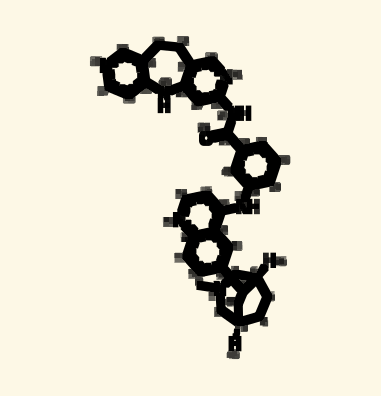 CN1C[C@@H]2CC[C@@H](C1)C(c1ccc3nccc(Nc4cccc(C(=O)Nc5cc6c(cn5)CCc5cnccc5N6)c4)c3c1)C2